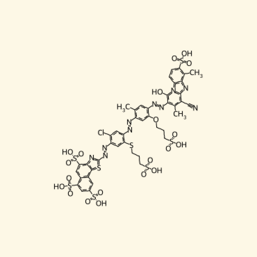 Cc1cc(N=Nc2c(C)c(C#N)c3nc4c(C)c(S(=O)(=O)O)ccc4n3c2O)c(OCCCS(=O)(=O)O)cc1N=Nc1cc(Cl)c(N=Nc2nc3c(S(=O)(=O)O)cc4c(S(=O)(=O)O)cc(S(=O)(=O)O)cc4c3s2)cc1SCCCS(=O)(=O)O